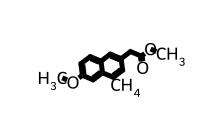 C.COC(=O)Cc1ccc2cc(OC)ccc2c1